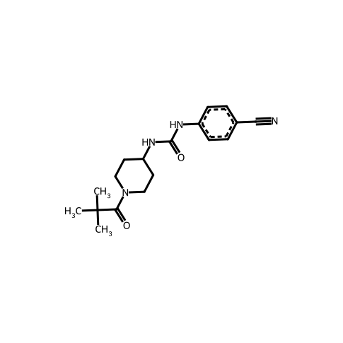 CC(C)(C)C(=O)N1CCC(NC(=O)Nc2ccc(C#N)cc2)CC1